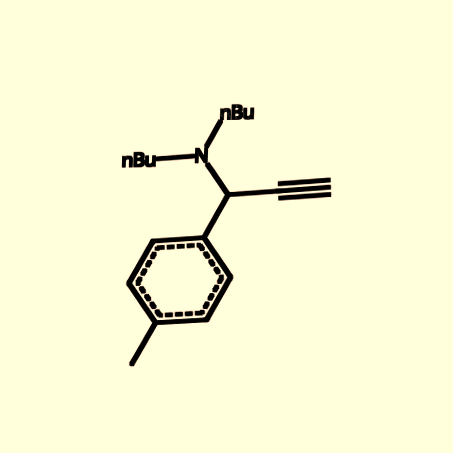 C#CC(c1ccc(C)cc1)N(CCCC)CCCC